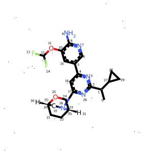 CC(c1nc(-c2cnc(N)c(OC(F)F)c2)cc(N2C[C@@H]3CC[C@H]2CO3)n1)C1CC1